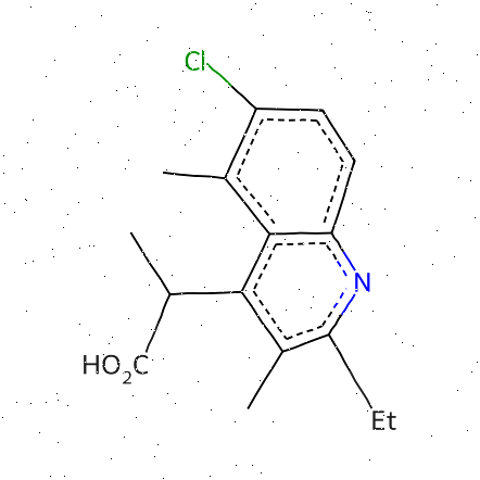 CCc1nc2ccc(Cl)c(C)c2c(C(C)C(=O)O)c1C